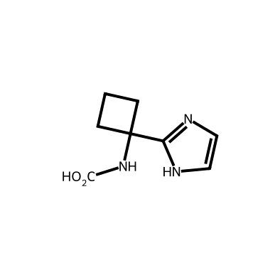 O=C(O)NC1(c2ncc[nH]2)CCC1